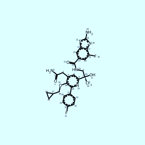 NC(=O)Cc1cc([C@@](O)(CNC(=O)c2cc(F)c3nc(N)sc3c2)C(F)(F)F)nc(-c2ccc(F)cc2)c1OCC1CC1